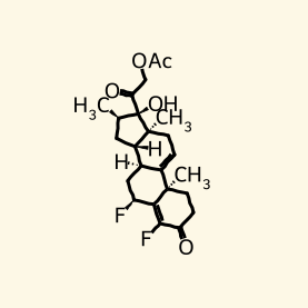 CC(=O)OCC(=O)[C@@]1(O)[C@H](C)C[C@H]2[C@@H]3C[C@H](F)C4=C(F)C(=O)CC[C@]4(C)C3=CC[C@@]21C